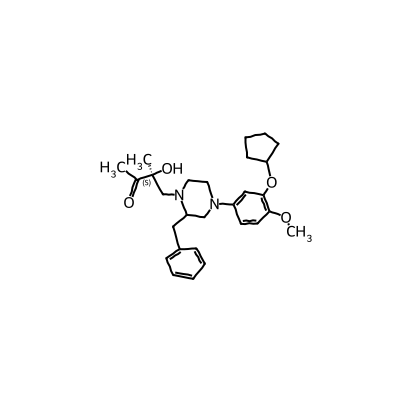 COc1ccc(N2CCN(C[C@](C)(O)C(C)=O)C(Cc3ccccc3)C2)cc1OC1CCCC1